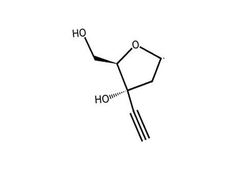 C#C[C@]1(O)C[CH]O[C@@H]1CO